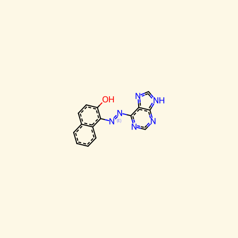 Oc1ccc2ccccc2c1/N=N/c1ncnc2[nH]cnc12